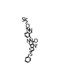 Cn1c2cc(SCc3ccccc3)sc2c2cnn(Cc3cccc4c3cnn4COCC[Si](C)(C)C)c(=O)c21